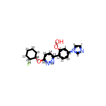 OOc1cc(-n2ccnc2)ccc1-c1ccc(O[C@@H]2CCCC[C@H]2F)nn1